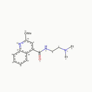 CCN(CC)CCNC(=O)c1cc(OC)nc2ccccc12